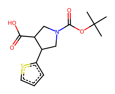 CC(C)(C)OC(=O)N1CC(C(=O)O)C(c2cccs2)C1